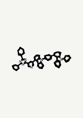 C1=CC(c2nc(-c3ccccc3)nc(-c3cncc(-c4cccc5c4c4ccccc4n5-c4ccc(-c5cccc6c5c5ccccc5n6-c5ccccc5)cc4)c3)n2)=CCC1